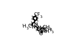 Cc1cc(-c2ccc(C(F)(F)F)cc2)nc(C2=N[C@@]3(CC2)CC(C)(C)NC3=O)n1